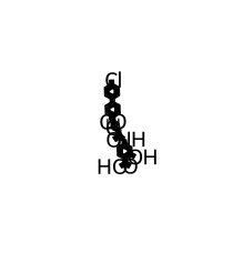 O=C(COS(=O)(=O)c1ccc(-c2ccc(Cl)cc2)cc1)Nc1ccc(C(=O)O)c(O)c1